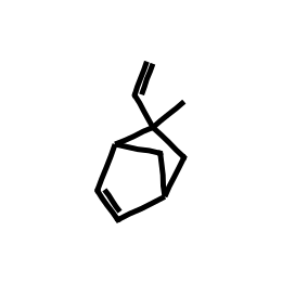 C=CC1(C)CC2C=CC1C2